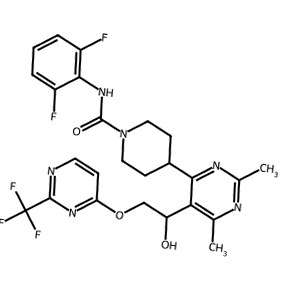 Cc1nc(C)c(C(O)COc2ccnc(C(F)(F)F)n2)c(C2CCN(C(=O)Nc3c(F)cccc3F)CC2)n1